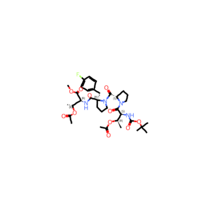 COC(=O)[C@H](NC(=O)[C@]1(Cc2ccc(F)cc2)CCCN1C(=O)[C@@H]1CCCN1C(=O)[C@@H](NC(=O)OC(C)(C)C)[C@@H](C)OC(C)=O)[C@@H](C)OC(C)=O